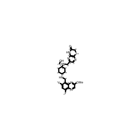 COc1cnc2c(F)cc(F)c(CN[C@H]3CC[C@](CO)(NCc4cnc5c(n4)NC(=O)CS5)CC3)c2n1